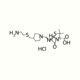 CC1(C)S[C@@H]2[C@H](N=CN3CCC(CSCCN)CC3)C(=O)N2[C@H]1C(=O)O.Cl